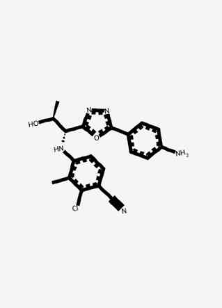 Cc1c(N[C@@H](c2nnc(-c3ccc(N)cc3)o2)[C@H](C)O)ccc(C#N)c1Cl